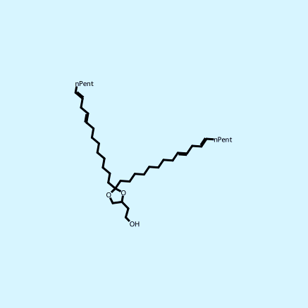 CCCCCC=CCC=CCCCCCCCCC1(CCCCCCCCC=CCC=CCCCCC)OCC(CCO)O1